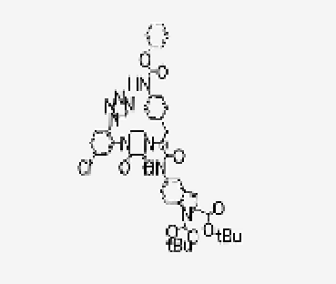 CC(C)(C)OC(=O)c1cc2cc(NC(=O)[C@H](Cc3ccc(NC(=O)Oc4ccccc4)cc3)N3CCN(c4cc(Cl)ccc4-n4cnnn4)C(=O)C3=O)ccc2n1C(=O)OC(C)(C)C